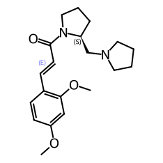 COc1ccc(/C=C/C(=O)N2CCC[C@H]2CN2CCCC2)c(OC)c1